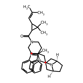 CC(C)=CC1C(C(=O)N2CCC(CCN3[C@@H]4CC[C@H]3CC(n3c(C)nc5ccccc53)C4)(c3ccccc3)CC2)C1(C)C